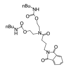 CCCCNC(=O)OCCN(CCOC(=O)NCCCC)C(=O)CCCN1C(=O)c2ccccc2C1=O